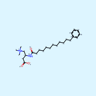 C[N+](C)(C)CC(CC(=O)[O-])NC(=O)CCCCCCCCCCCc1ccccc1